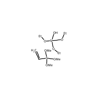 C=C[Si](OC)(OC)OC.CCO[Si](O)(OCC)OCC